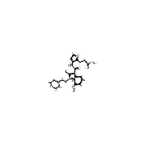 COC(=O)CCc1sccc1NC(=O)c1c(C)n(CCN2CCOCC2)c2c(OC)cccc12